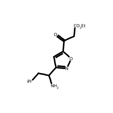 CCOC(=O)CC(=O)c1cc(C(N)CC(C)C)no1